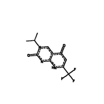 CC(C)n1cc2c(=O)cc(C(F)(F)F)[nH]c2nc1=O